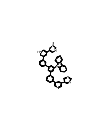 C1=NC=C(C2=CNCC(c3cccc(-c4cc(-c5cccc(-c6cncc(-c7cncnc7)c6)c5)cc(-n5c6c(c7ccccc75)=CCCC=6)c4)c3)=C2)CN1